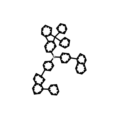 c1ccc(-c2cccc3ccc(-c4ccc(N(c5ccc(-c6cccc7ccccc67)cc5)c5ccc6c(c5)C(c5ccccc5)(c5ccccc5)c5ccccc5-6)cc4)cc23)cc1